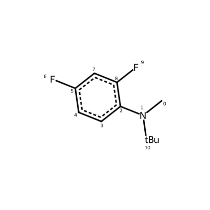 CN(c1ccc(F)cc1F)C(C)(C)C